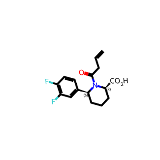 C=CCC(=O)N1[C@@H](C(=O)O)CCC[C@H]1c1ccc(F)c(F)c1